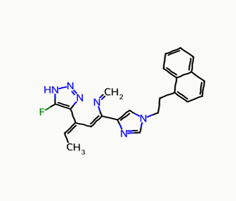 C=N/C(=C\C(=C/C)c1nn[nH]c1F)c1cn(CCc2cccc3ccccc23)cn1